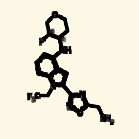 NCc1nc(-c2cc3c(N[C@@H]4CCOC[C@@H]4F)cccc3n2CC(F)(F)F)no1